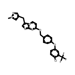 Cn1cc(Cc2cnc3nc(OCc4ccc(Oc5ccc(Cl)c(C(F)(F)F)c5)cc4)ccn23)cn1